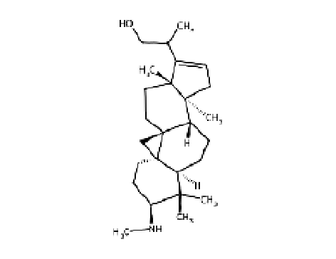 CN[C@H]1CC[C@]23C[C@]24CC[C@]2(C)C(C(C)CO)=CC[C@@]2(C)[C@@H]4CC[C@H]3C1(C)C